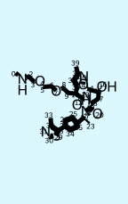 CNCCOCCOCCC(C(=O)N1C[C@H](O)C[C@H]1C(=O)N[C@@H](C)c1ccc(-c2scnc2C)cc1)c1cc(C)no1